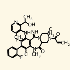 C=CC(=O)N1CC2C(=O)N(C)c3c(Cl)c(-c4ccccc4F)c(F)c(Nc4c(C)ccnc4C(C)O)c3C(=N)N2CC1C